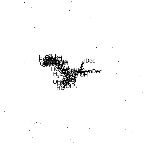 CCCCCCCCCCCCC/C=C/[C@@H](O)[C@H](CO[C@@H]1OC(CO)[C@@H](O[C@@H]2OC(CO)[C@H](O[C@@H]3OC(CO)[C@H](O)[C@H](O[C@@H]4OC(CO)[C@H](O)[C@H](O[C@]5(OC=O)C[C@@H](O)[C@@H](C)C([C@H](O)[C@@H](CO)O[C@]6(OC=O)C[C@@H](O)[C@@H](C)C([C@H](O)[C@H](O)CO)O6)O5)C4O)C3C)[C@H](O[C@]3(OC=O)C[C@@H](O)[C@@H](C)C([C@H](O)[C@H](O)CO)O3)C2O)[C@H](O)C1O)NC(=O)CCCCCCCCCCCCCCC